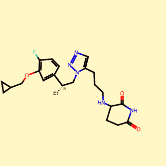 CC[C@@H](Cn1nncc1CCCNC1CCC(=O)NC1=O)c1ccc(F)c(OCC2CC2)c1